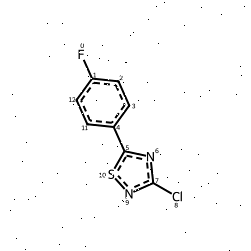 Fc1ccc(-c2nc(Cl)ns2)cc1